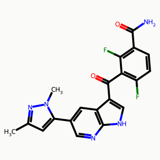 Cc1cc(-c2cnc3[nH]cc(C(=O)c4c(F)ccc(C(N)=O)c4F)c3c2)n(C)n1